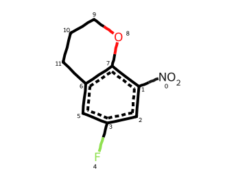 O=[N+]([O-])c1cc(F)cc2c1OCCC2